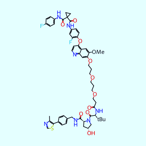 COc1cc2c(Oc3ccc(NC(=O)C4(C(=O)Nc5ccc(F)cc5)CC4)cc3F)ccnc2cc1OCCCOCCCOCCC(=O)N[C@H](C(=O)N1C[C@H](O)C[C@H]1C(=O)NCc1ccc(-c2scnc2C)cc1)C(C)(C)C